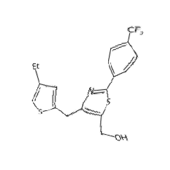 CCc1csc(Cc2nc(-c3ccc(C(F)(F)F)cc3)sc2CO)c1